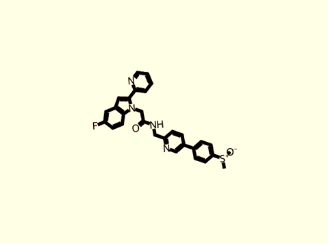 C[S+]([O-])c1ccc(-c2ccc(CNC(=O)Cn3c(-c4ccccn4)cc4cc(F)ccc43)nc2)cc1